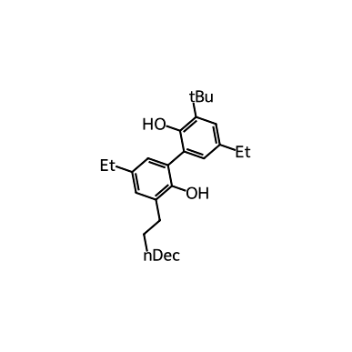 CCCCCCCCCCCCc1cc(CC)cc(-c2cc(CC)cc(C(C)(C)C)c2O)c1O